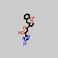 COc1ccccc1Cc1occc1C(=O)C=C(O)c1nc[nH]n1